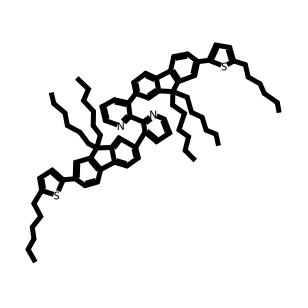 CCCCCCc1ccc(-c2ccc3c(c2)C(CCCCCC)(CCCCCC)c2cc(-c4cccnc4-c4ncccc4-c4ccc5c(c4)C(CCCCCC)(CCCCCC)c4cc(-c6ccc(CCCCCC)s6)ccc4-5)ccc2-3)s1